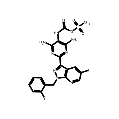 CS(=O)(=O)OC(=O)Nc1c(N)nc(-c2nn(Cc3ccccc3F)c3ncc(F)cc23)nc1N